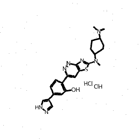 CN(C)C1CCC(N(C)c2nc3nnc(-c4ccc(-c5cn[nH]c5)cc4O)cc3s2)CC1.Cl.Cl